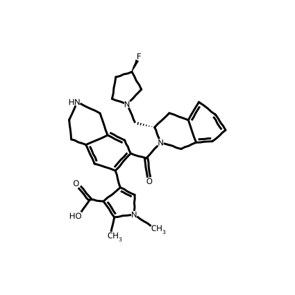 Cc1c(C(=O)O)c(-c2cc3c(cc2C(=O)N2Cc4ccccc4C[C@H]2CN2CC[C@@H](F)C2)CNCC3)cn1C